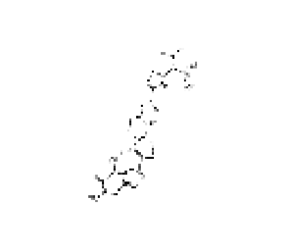 C=C(CNC=O)N(CCC)Cc1ncc(-c2ccc3c(c2)CCc2cc(-c4cnc(C([C@H](CC)CCC)N(C)C)[nH]4)ccc2-3)[nH]1